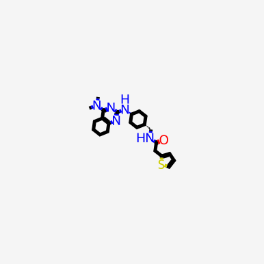 CN(C)c1nc(N[C@H]2CC[C@@H](CNC(=O)Cc3cccs3)CC2)nc2c1CCCC2